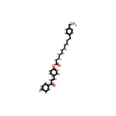 C=Cc1ccc(CCCCCCCCCCC(=O)Oc2ccc(C=CC(=O)c3ccc(F)cc3)cc2)cc1